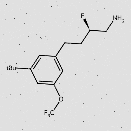 CC(C)(C)c1cc(CC[C@@H](F)CN)cc(OC(F)(F)F)c1